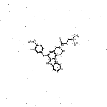 COc1ccc(Cc2nc3c(c4c2[nH]c2ccccc24)CCN(C(=O)CCN(C)C)C3)cc1F